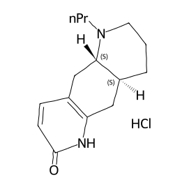 CCCN1CCC[C@H]2Cc3[nH]c(=O)ccc3C[C@@H]21.Cl